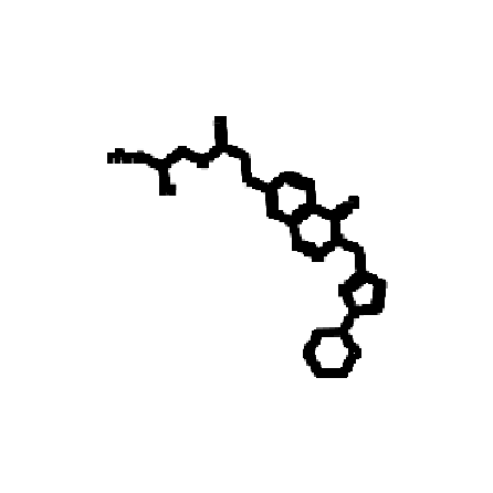 CCCCCC(CC)COC(=O)CSc1ccc2c(=O)n(Cc3ccn(C4CCCCO4)n3)ncc2c1